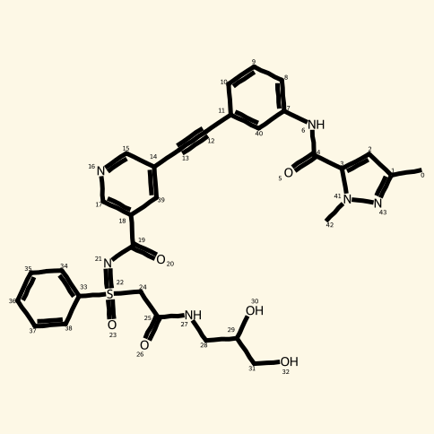 Cc1cc(C(=O)Nc2cccc(C#Cc3cncc(C(=O)N=S(=O)(CC(=O)NCC(O)CO)c4ccccc4)c3)c2)n(C)n1